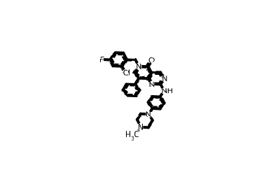 CN1CCN(c2ccc(Nc3ncc4c(=O)n(Cc5ccc(F)cc5Cl)cc(-c5ccccc5)c4n3)cc2)CC1